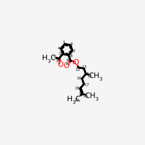 CC(=O)c1ccccc1C(=O)OCCC(C)CCC=C(C)C